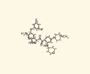 CN1CCN(c2ccc(C(=O)Nc3n[nH]c4nc(N)c(Sc5cc(F)cc(F)c5)cc34)c(NC3CCOCC3)c2)CC1